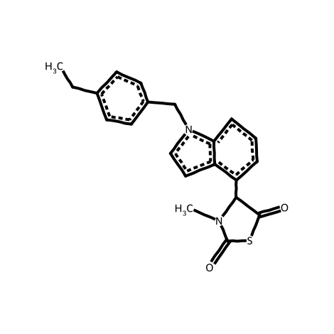 CCc1ccc(Cn2ccc3c(C4C(=O)SC(=O)N4C)cccc32)cc1